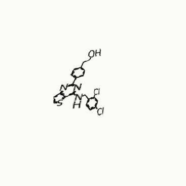 OCCc1ccc(-c2nc(NCc3ccc(Cl)cc3Cl)c3sccc3n2)cc1